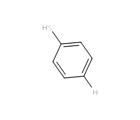 [2H]c1ccc(S)cc1